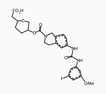 COc1cc(F)cc(NC(=O)Nc2ccc3c(c2)CCN(C(=O)OC2CCC(CC(=O)O)CC2)C3)c1